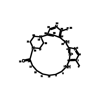 Cc1cnc2nc1NCCCCCCC(=O)N1CCN(CC1)c1cnc(F)c(c1)N2